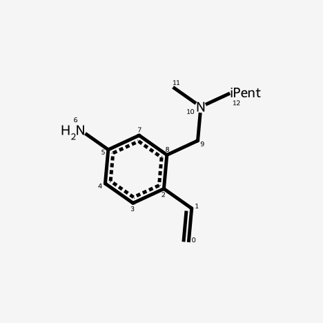 C=Cc1ccc(N)cc1CN(C)C(C)CCC